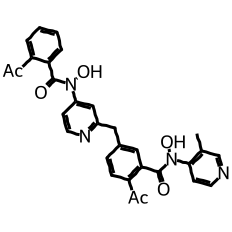 CC(=O)c1ccccc1C(=O)N(O)c1ccnc(Cc2ccc(C(C)=O)c(C(=O)N(O)c3ccncc3C)c2)c1